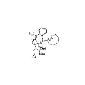 CCCCC(O)C(CC1CC1)C(=O)C1(N)N=C(N2CCCCCC2)c2ccccc2N(C)C1=O